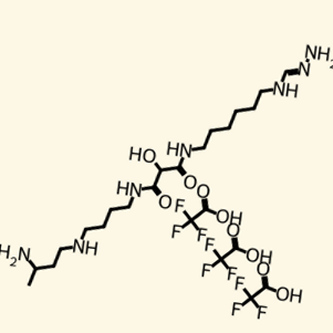 CC(N)CCNCCCCNC(=O)C(O)C(=O)NCCCCCCNC=NN.O=C(O)C(F)(F)F.O=C(O)C(F)(F)F.O=C(O)C(F)(F)F